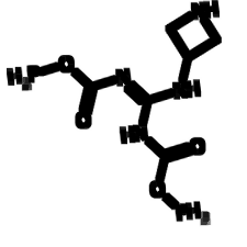 O=C(N=C(NC(=O)OP)NC1CNC1)OP